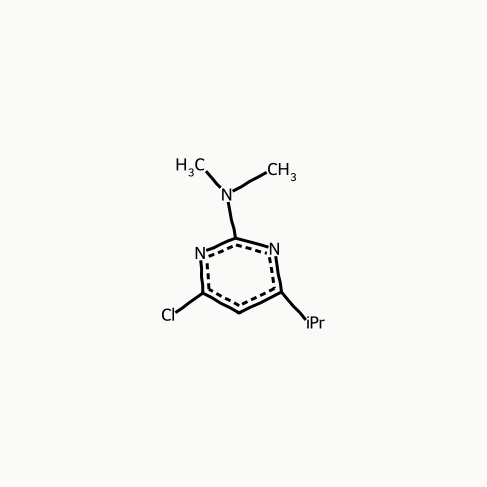 CC(C)c1cc(Cl)nc(N(C)C)n1